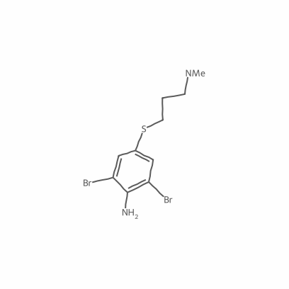 CNCCCSc1cc(Br)c(N)c(Br)c1